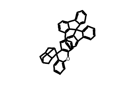 c1ccc2c(c1)Oc1ccc(-c3cccc4c3C3(c5ccccc5-c5ccccc53)c3ccccc3-4)cc1C21C2CC3CC(C2)C1C3